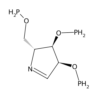 POC[C@H]1N=C[C@H](OP)[C@@H]1OP